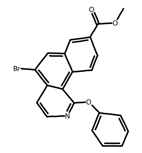 COC(=O)c1ccc2c(c1)cc(Br)c1ccnc(Oc3ccccc3)c12